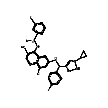 CC[C@@H](Nc1c(C#N)cnc2c(Cl)cc(NC(C3=CN(C4CC4)NN3)c3ccc(F)cc3)cc12)c1cccc(F)c1